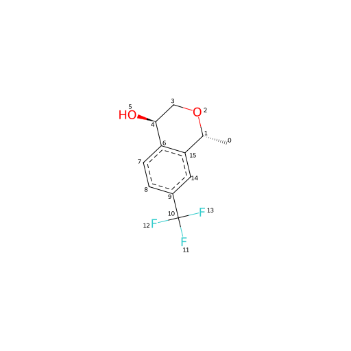 C[C@H]1OC[C@H](O)c2ccc(C(F)(F)F)cc21